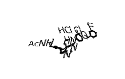 CC(=O)NCC#Cc1cc2ncnc(Nc3ccc(OCc4cccc(F)c4)c(Cl)c3)c2s1.Cl